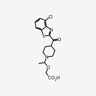 CC(OCC(=O)O)N1CCC(C(=O)c2nc3c(Cl)cccc3s2)CC1